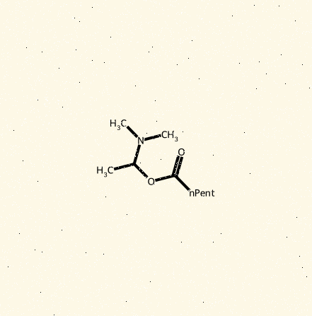 CCCCCC(=O)OC(C)N(C)C